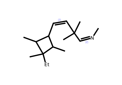 CCC1(C)C(C)C(/C=C\C(C)(C)/C=N\C)C1C